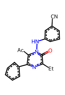 CCc1nc(-c2ccccc2)c(C(C)=O)n(Nc2cccc(C#N)c2)c1=O